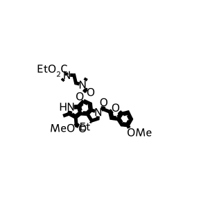 CCOC(=O)N(C)CCN(C)C(=O)Oc1cc2c(c3c(C(=O)OC)c(C)[nH]c13)[C@H](CC)CN2C(=O)c1cc2cc(OC)ccc2o1